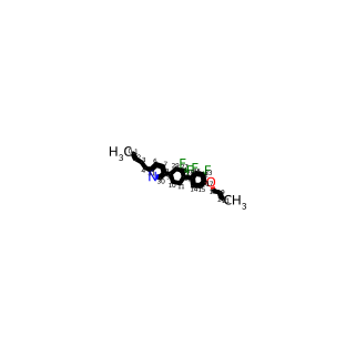 C/C=C/CCc1ccc(C2CCC(c3ccc(OC/C=C/C)c(F)c3F)C(F)(F)C2)cn1